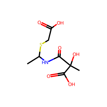 CC(NC(=O)C(C)(O)C(=O)O)SCC(=O)O